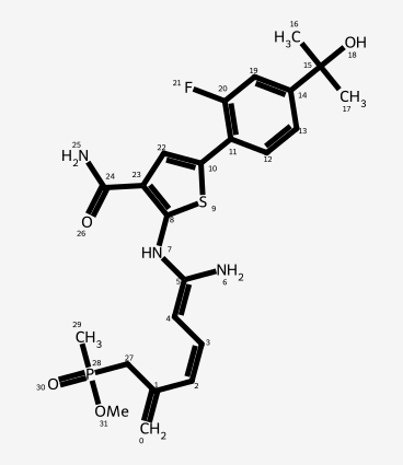 C=C(/C=C\C=C(/N)Nc1sc(-c2ccc(C(C)(C)O)cc2F)cc1C(N)=O)CP(C)(=O)OC